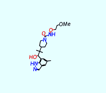 COCCONC(=O)N1CCC(C(C)(C)[C@H](O)c2cc(C)cc3cn[nH]c23)CC1